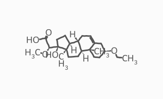 CCO[C@H]1CC[C@@]2(C)C(=CC[C@@H]3[C@@H]2CC[C@@]2(C)[C@H]3CC[C@@]2(O)[C@@H](OC)C(=O)O)C1